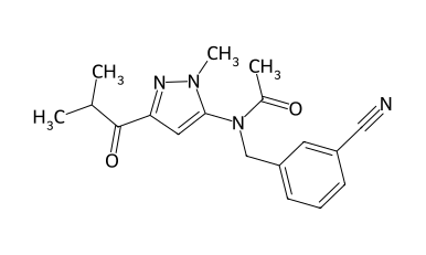 CC(=O)N(Cc1cccc(C#N)c1)c1cc(C(=O)C(C)C)nn1C